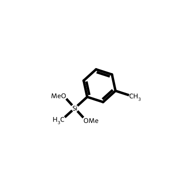 CO[Si](C)(OC)c1cccc(C)c1